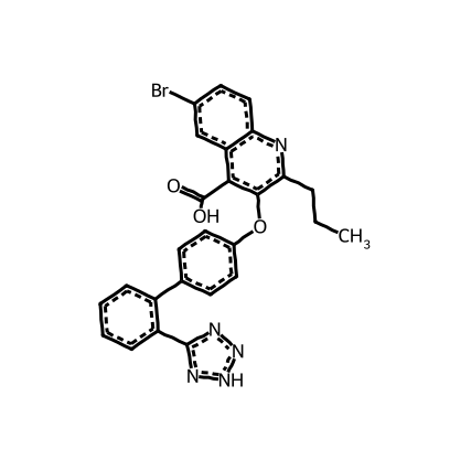 CCCc1nc2ccc(Br)cc2c(C(=O)O)c1Oc1ccc(-c2ccccc2-c2nn[nH]n2)cc1